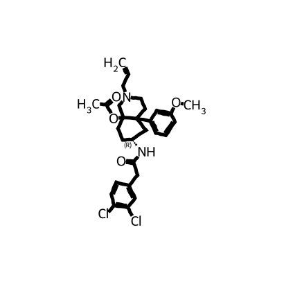 C=CCN1CCC2(c3cccc(OC)c3)C[C@H](NC(=O)Cc3ccc(Cl)c(Cl)c3)CCC2(OC(C)=O)C1